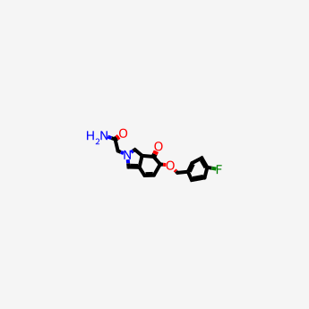 NC(=O)CN1C=C2C=CC(OCc3ccc(F)cc3)C(=O)C2C1